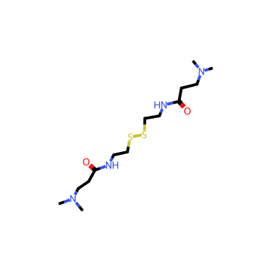 CN(C)CCC(=O)NCCSSCCNC(=O)CCN(C)C